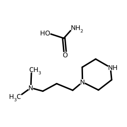 CN(C)CCCN1CCNCC1.NC(=O)O